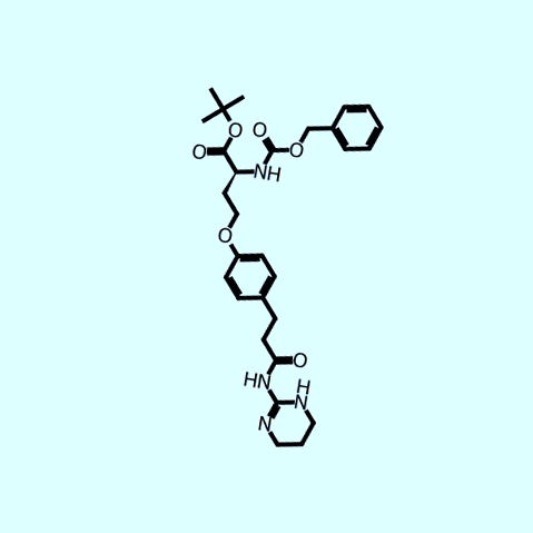 CC(C)(C)OC(=O)[C@H](CCOc1ccc(CCC(=O)NC2=NCCCN2)cc1)NC(=O)OCc1ccccc1